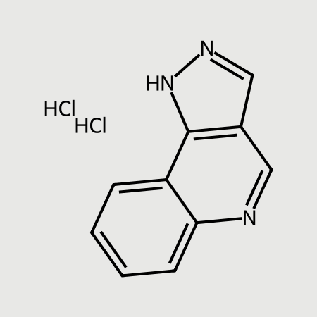 Cl.Cl.c1ccc2c(c1)ncc1cn[nH]c12